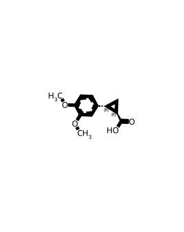 COc1ccc([C@@H]2C[C@H]2C(=O)O)cc1OC